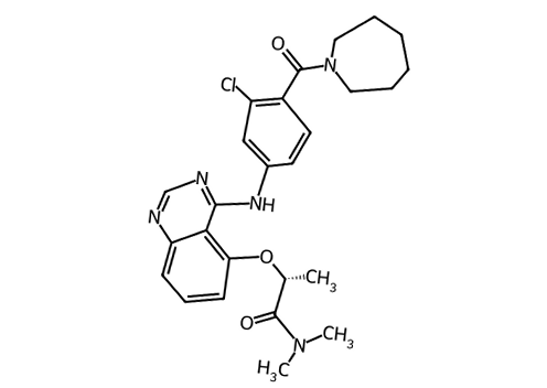 C[C@@H](Oc1cccc2ncnc(Nc3ccc(C(=O)N4CCCCCC4)c(Cl)c3)c12)C(=O)N(C)C